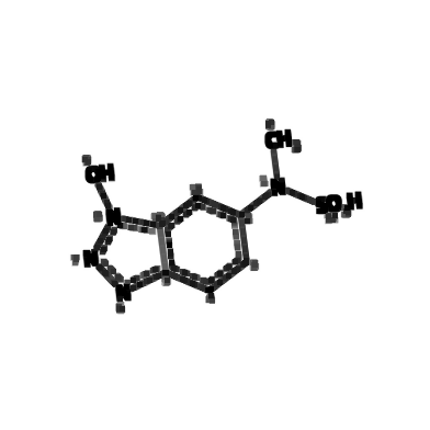 CN(c1ccc2nnn(O)c2c1)S(=O)(=O)O